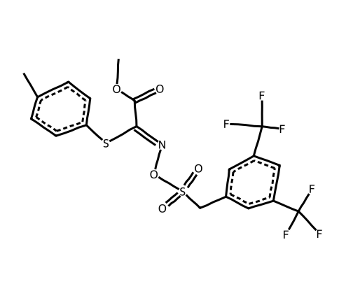 COC(=O)/C(=N/OS(=O)(=O)Cc1cc(C(F)(F)F)cc(C(F)(F)F)c1)Sc1ccc(C)cc1